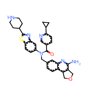 Nc1nc2cc(CN(C(=O)c3ccc(C4CC4)nc3)c3ccc4sc(C5CCNCC5)nc4c3)ccc2c2c1COC2